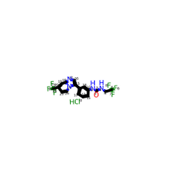 Cl.O=C(NCC(F)(F)F)Nc1cccc(-c2cnc3cc(C(F)(F)F)ccn23)c1